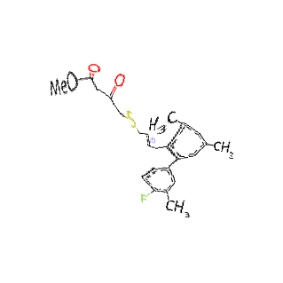 COC(=O)CC(=O)CSC/C=C/c1c(C)cc(C)cc1-c1ccc(F)c(C)c1